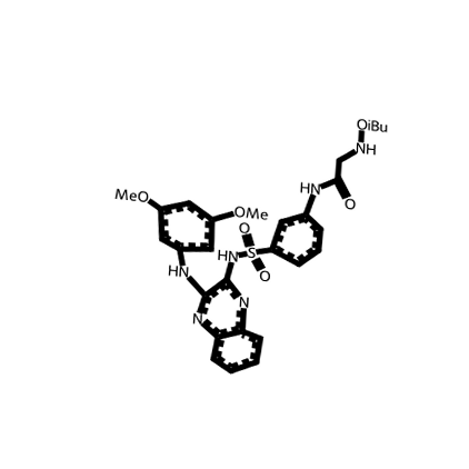 COc1cc(Nc2nc3ccccc3nc2NS(=O)(=O)c2cccc(NC(=O)CNOCC(C)C)c2)cc(OC)c1